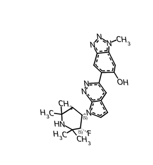 Cn1nnc2cc(-c3cc4ccn([C@H]5CC(C)(C)NC(C)(C)[C@H]5F)c4nn3)c(O)cc21